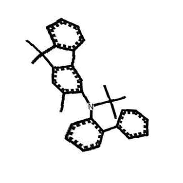 Cc1cc2c(cc1N(c1ccccc1-c1ccccc1)C(C)(C)C)-c1ccccc1C2(C)C